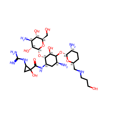 N=C(N)NC1CC1(O)C(=O)N[C@@H]1C[C@H](N)C(O[C@H]2O[C@H](CNCCCO)CC[C@H]2N)[C@H](O)[C@H]1O[C@H]1O[C@H](CO)[C@@H](O)[C@H](N)[C@H]1O